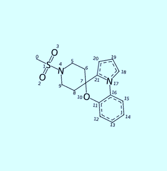 CS(=O)(=O)N1CCC2(CC1)Oc1ccccc1-n1cccc12